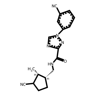 C[C@H]1C(C#N)CC[C@H]1CNC(=O)c1ncn(-c2cccc(C#N)c2)n1